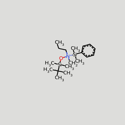 [CH2][N+](CCC)(O[Si](C)(C)C(C)(C)C)[Si](C)(C)c1ccccc1